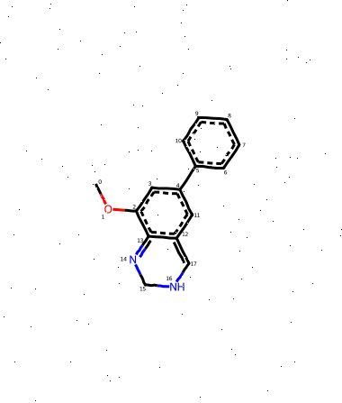 COc1cc(-c2ccccc2)cc2c1=NCNC=2